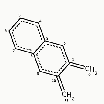 C=c1[c]c2ccccc2cc1=C